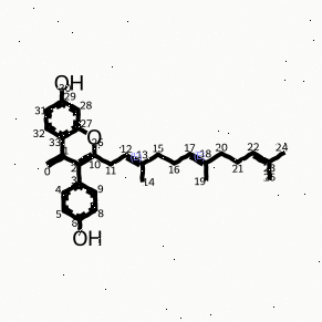 C=C1C(c2ccc(O)cc2)=C(C/C=C(\C)CC/C=C(\C)CCC=C(C)C)Oc2cc(O)ccc21